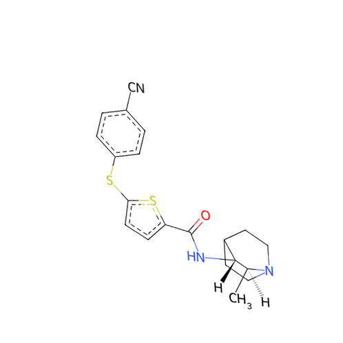 C[C@H]1[C@H](NC(=O)c2ccc(Sc3ccc(C#N)cc3)s2)C2CCN1CC2